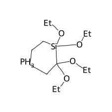 CCOC1(OCC)CCCC[Si]1(OCC)OCC.P